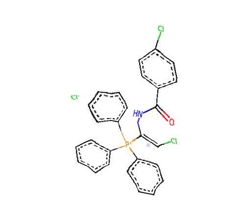 O=C(N/C(=C\Cl)[P+](c1ccccc1)(c1ccccc1)c1ccccc1)c1ccc(Cl)cc1.[Cl-]